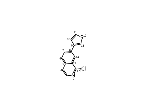 Clc1nccc2ccc(-c3ccsc3)cc12